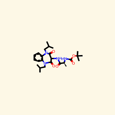 CC(C)CN1C(=O)C(NC(=O)[C@H](C)NC(=O)OC(C)(C)C)C(=O)N(CC(C)C)c2ccccc21